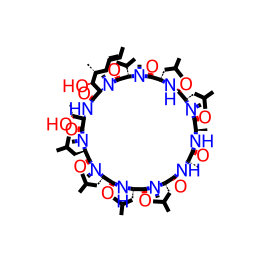 CC=CC[C@@H](C)[C@@H](O)[C@H]1C(=O)N[C@@H]([C@@H](C)O)C(=O)N(C)[C@H](CC(C)C)C(=O)N(C)[C@@H](CC(C)C)C(=O)N[C@@H](CC(C)C)C(=O)N(C)[C@@H](CC(C)C)C(=O)N[C@@H](C)C(=O)N[C@H](C)C(=O)N(C)[C@@H](CC(C)C)C(=O)N[C@@H](CC(C)C)C(=O)N(C)[C@@H](C(C)C)C(=O)N1C